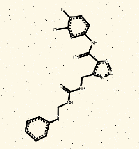 N=C(Nc1ccc(F)c(Cl)c1)c1nonc1CNC(=O)NCCc1ccccc1